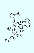 C=CC(=O)N1C[C@H](C)N(c2nc(OCC3CCCN3C)nc3cc(-c4cccc5cccc(Cl)c45)c4ccoc4c23)C[C@H]1C